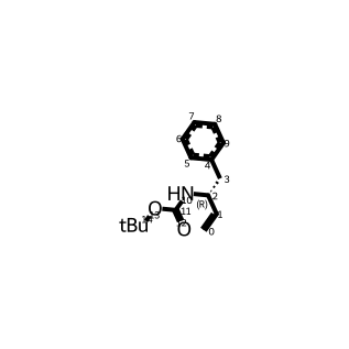 C=C[C@@H](Cc1ccccc1)NC(=O)OC(C)(C)C